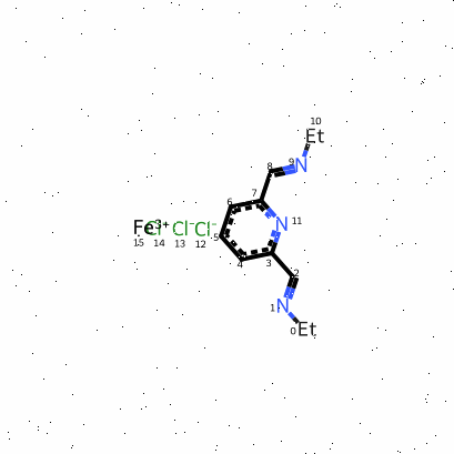 CCN=Cc1cccc(C=NCC)n1.[Cl-].[Cl-].[Cl-].[Fe+3]